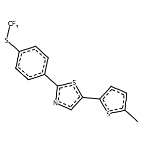 Cc1ccc(-c2cnc(-c3ccc(SC(F)(F)F)cc3)s2)s1